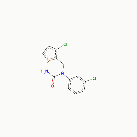 NC(=O)N(Cc1sccc1Cl)c1cccc(Cl)c1